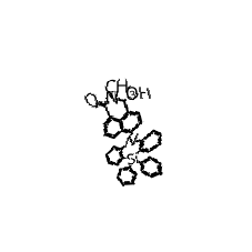 CN1C(=O)c2cccc3c(N4c5ccccc5[Si](c5ccccc5)(c5ccccc5)c5ccccc54)ccc(c23)C1O